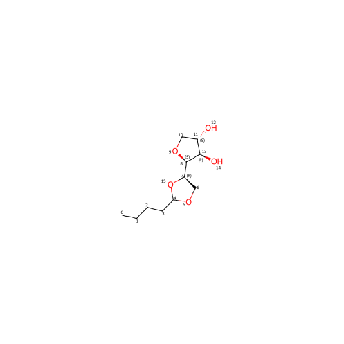 CCCCC1OC[C@H]([C@H]2OC[C@H](O)[C@H]2O)O1